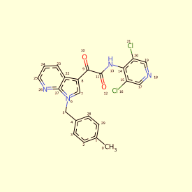 Cc1ccc(Cn2cc(C(=O)C(=O)Nc3c(Cl)cncc3Cl)c3cccnc32)cc1